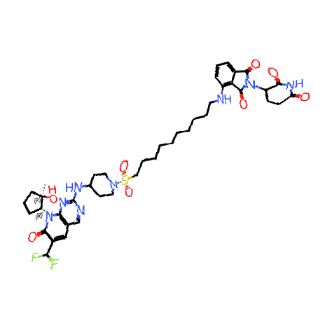 C[C@@]1(O)CCC[C@H]1n1c(=O)c(C(F)F)cc2cnc(NC3CCN(S(=O)(=O)CCCCCCCCCCNc4cccc5c4C(=O)N(C4CCC(=O)NC4=O)C5=O)CC3)nc21